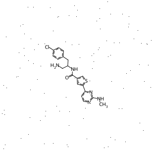 CNc1nccc(-c2cc(C(=O)NC(CN)Cc3ccc(Cl)cc3)cs2)n1